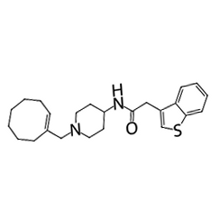 O=C(Cc1csc2ccccc12)NC1CCN(CC2=CCCCCCC2)CC1